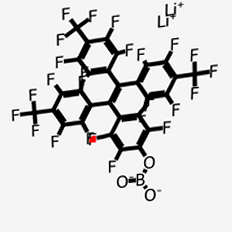 [Li+].[Li+].[O-]B([O-])Oc1c(F)c(F)c(C(=C(c2c(F)c(F)c(C(F)(F)F)c(F)c2F)c2c(F)c(F)c(C(F)(F)F)c(F)c2F)c2c(F)c(F)c(C(F)(F)F)c(F)c2F)c(F)c1F